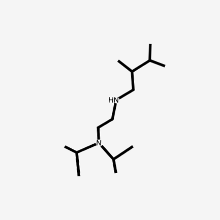 CC(C)C(C)CNCCN(C(C)C)C(C)C